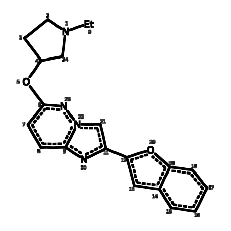 CCN1CCC(Oc2ccc3nc(-c4cc5ccccc5o4)cn3n2)C1